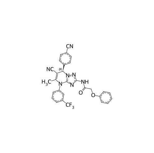 CC1=C(C#N)[C@@H](c2ccc(C#N)cc2)n2nc(NC(=O)COc3ccccc3)nc2N1c1cccc(C(F)(F)F)c1